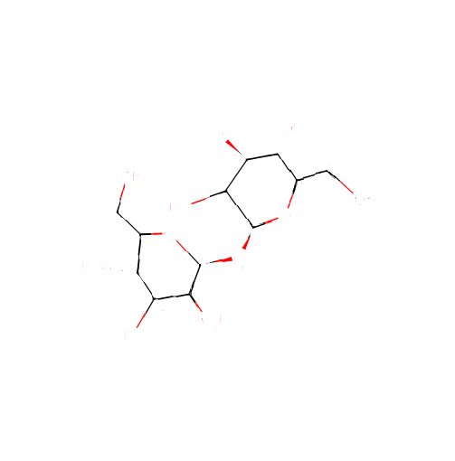 OCC1O[C@@H](O[C@@H]2OC(CO)[C@@H](O)[C@H](O)C2O)C(O)C(O)[C@@H]1O